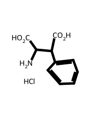 Cl.NC(C(=O)O)C(C(=O)O)c1ccccc1